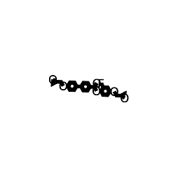 O=C(Oc1ccc(OCC2CO2)cc1F)c1ccc(-c2ccc(OCC3CO3)cc2)cc1